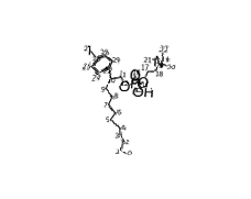 CCCCCCCCCCC(COP(=O)(O)OCC[N+](C)(C)C)c1ccc(I)cc1